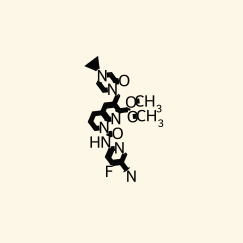 COC(OC)c1nc2c(cc1CN1CCN(C3CC3)CC1=O)CCCN2C(=O)Nc1cc(F)c(C#N)cn1